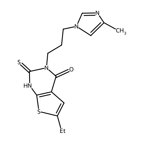 CCc1cc2c(=O)n(CCCn3cnc(C)c3)c(=S)[nH]c2s1